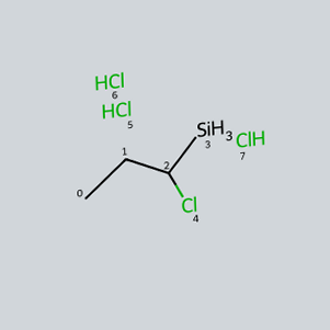 CCC([SiH3])Cl.Cl.Cl.Cl